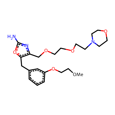 COCCOc1cccc(Cc2oc(N)nc2COCCOCCN2CCOCC2)c1